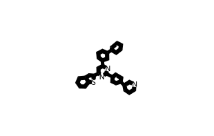 c1ccc(-c2cccc(-c3cc(-c4cc5ccccc5s4)nc(-c4ccc(-c5cccnc5)cc4)n3)c2)cc1